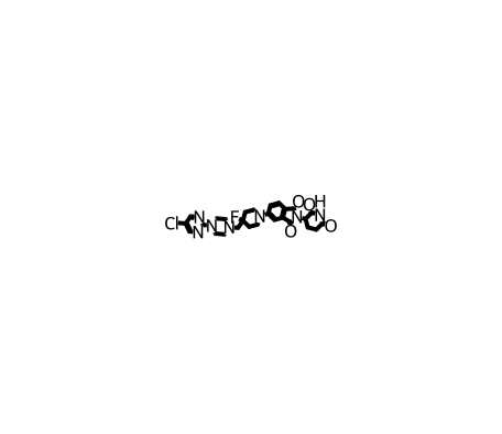 O=C1CCC(N2C(=O)c3ccc(N4CCC(F)(CN5CCN(c6ncc(Cl)cn6)CC5)CC4)cc3C2=O)C(=O)N1